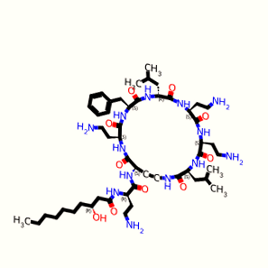 CCCCCCC[C@@H](O)CC(=O)N[C@H](CCN)C(=O)N[C@H]1CCNC(=O)[C@H](CC(C)C)NC(=O)[C@H](CCN)NC(=O)[C@H](CCN)NC(=O)[C@@H](CC(C)C)NC(=O)[C@H](Cc2ccccc2)NC(=O)[C@H](CCN)NC1=O